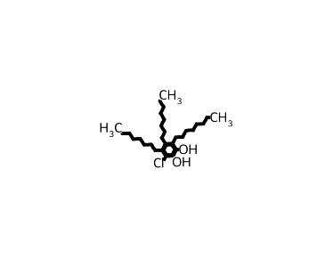 CCCCCCCCc1c(O)c(O)c(Cl)c(CCCCCCCC)c1CCCCCCCC